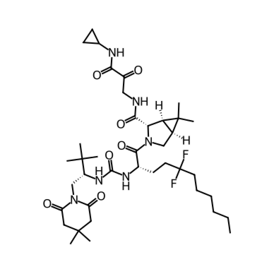 CCCCCCC(F)(F)CC[C@H](NC(=O)N[C@H](CN1C(=O)CC(C)(C)CC1=O)C(C)(C)C)C(=O)N1C[C@H]2[C@@H]([C@H]1C(=O)NCC(=O)C(=O)NC1CC1)C2(C)C